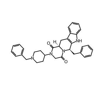 O=C1[C@H]2Cc3c([nH]c4ccccc34)[C@@H](Cc3ccccc3)N2C(=O)CN1C1CCN(Cc2ccccc2)CC1